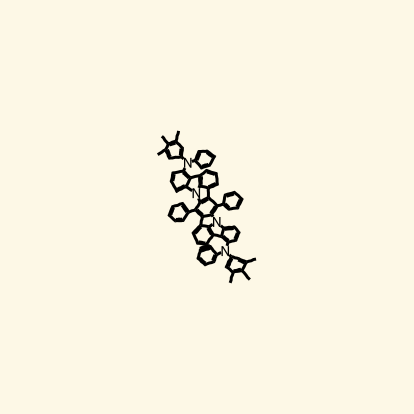 Cc1cc(N(c2c#cccc2)c2cccc3c2c2cccc4c5c(-c6ccccc6)c6c(c(-c7ccccc7)c5n3c24)c2cccc3c4c(N(c5ccccc5)c5cc(C)c(C)c(C)c5)cccc4n6c32)cc(C)c1C